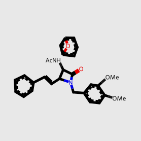 COc1ccc(CN2C(=O)C(NC(C)=O)C2C=Cc2ccccc2)cc1OC.c1cc2cc(c1)O2